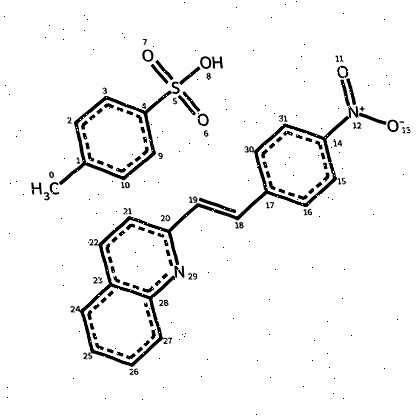 Cc1ccc(S(=O)(=O)O)cc1.O=[N+]([O-])c1ccc(C=Cc2ccc3ccccc3n2)cc1